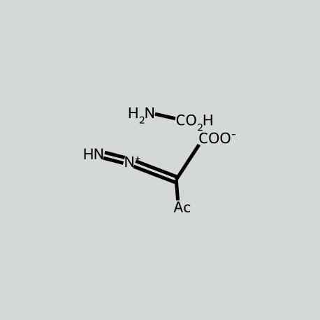 CC(=O)C(=[N+]=N)C(=O)[O-].NC(=O)O